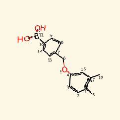 Cc1ccc(OCc2ccc(B(O)O)cc2)cc1C